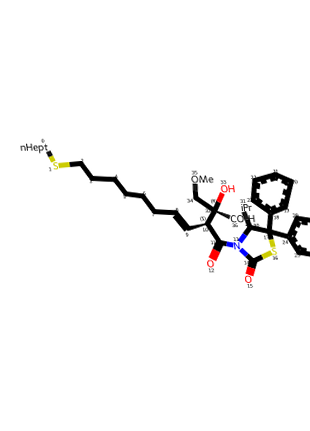 CCCCCCCSCCCCCCC=C[C@H](C(=O)N1C(=O)SC(c2ccccc2)(c2ccccc2)C1C(C)C)[C@@](O)(COC)C(=O)O